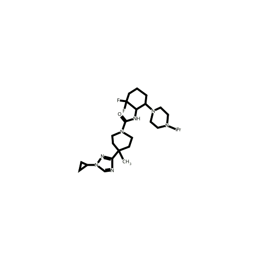 CC(C)N1CCN(C2CCCC(F)(F)C2NC(=O)N2CCC(C)(c3ncn(C4CC4)n3)CC2)CC1